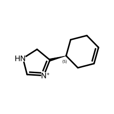 C1=CC[C@@H](C2=[N+]=CNC2)CC1